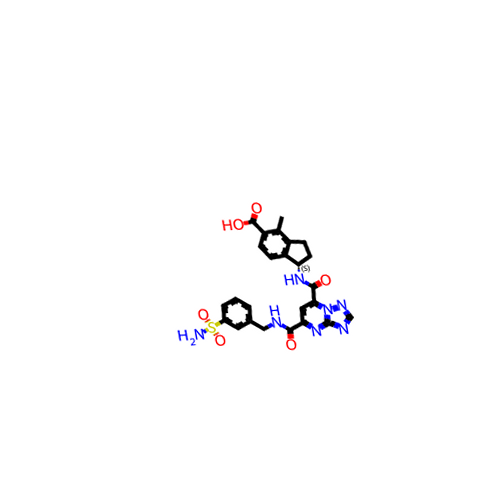 Cc1c(C(=O)O)ccc2c1CC[C@@H]2NC(=O)c1cc(C(=O)NCc2cccc(S(N)(=O)=O)c2)nc2ncnn12